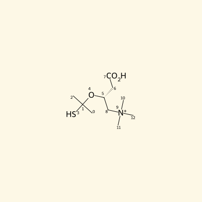 CC(C)(S)O[C@H](CC(=O)O)C[N+](C)(C)C